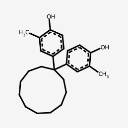 Cc1cc(C2(c3ccc(O)c(C)c3)CCCCCCCCCC2)ccc1O